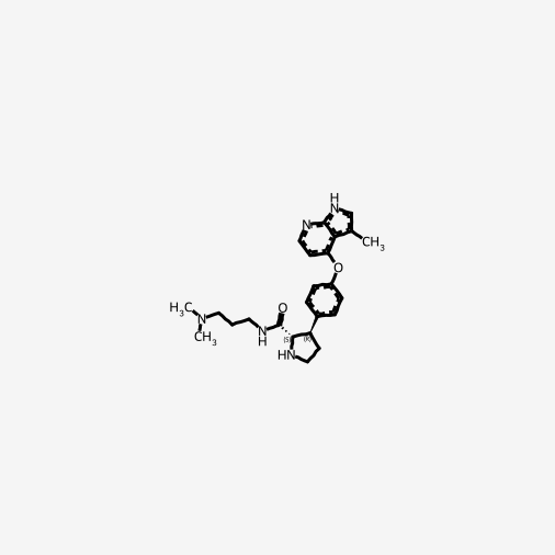 Cc1c[nH]c2nccc(Oc3ccc([C@H]4CCN[C@@H]4C(=O)NCCCN(C)C)cc3)c12